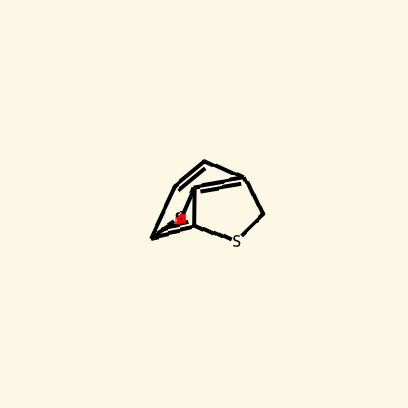 c1cc2c3c(c1CS3)CS2